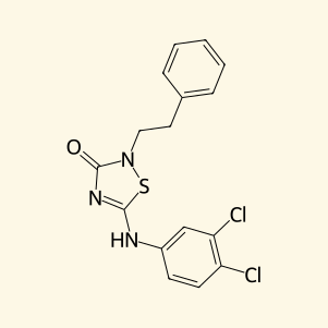 O=c1nc(Nc2ccc(Cl)c(Cl)c2)sn1CCc1ccccc1